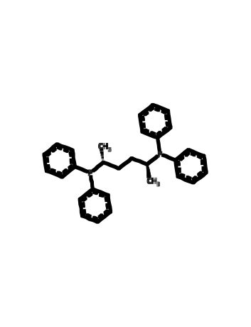 C[C@H](CC[C@H](C)P(c1ccccc1)c1ccccc1)P(c1ccccc1)c1ccccc1